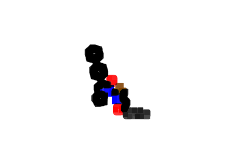 COC(=O)Cc1csc(NC(=O)C(CC2CCCC2)c2ccc(-c3ccccc3)cc2)n1